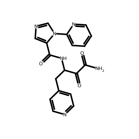 NC(=O)C(=O)C(Cc1ccncc1)NC(=O)c1cncn1-c1ccccn1